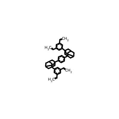 C=Cc1cc(C=C)cc(C23CC4CC(CC(c5ccc(C67CC8CC(C6)CC(c6cc(C=C)cc(C=C)c6)(C8)C7)cc5)(C4)C2)C3)c1